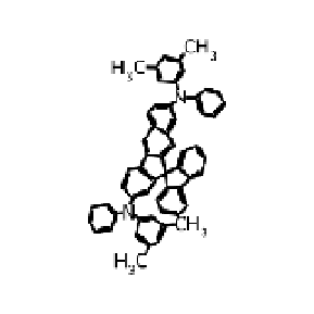 Cc1cc(C)cc(N(c2ccccc2)c2ccc3c(c2)C2(c4ccccc4-c4ccccc42)c2cc4cc(N(c5ccccc5)c5cc(C)cc(C)c5)ccc4cc2-3)c1